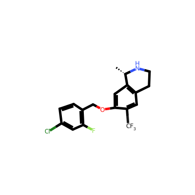 C[C@@H]1NCCc2cc(C(F)(F)F)c(OCc3ccc(Cl)cc3F)cc21